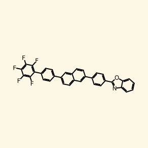 Fc1c(F)c(F)c(-c2ccc(-c3ccc4cc(-c5ccc(-c6nc7ccccc7o6)cc5)ccc4c3)cc2)c(F)c1F